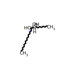 CCCCCCCCCCCCC/C=C/[C@@H](O)[C@H](CO)NC(=O)CCCCCCC